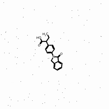 CCC(C(=O)O)c1ccc(N2Cc3ccccc3C2=O)cc1